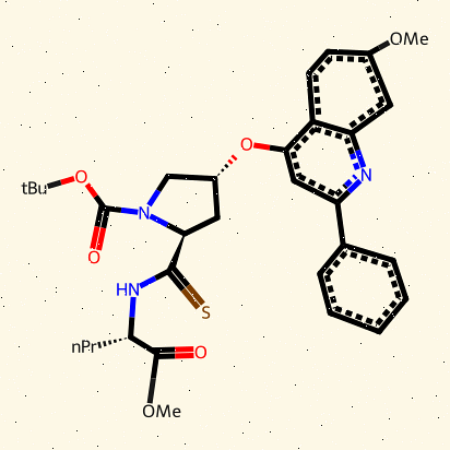 CCC[C@H](NC(=S)[C@@H]1C[C@@H](Oc2cc(-c3ccccc3)nc3cc(OC)ccc23)CN1C(=O)OC(C)(C)C)C(=O)OC